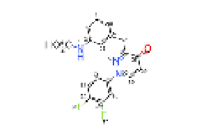 O=C(O)Nc1cccc(Cc2nn(-c3ccc(F)c(F)c3)ccc2=O)c1